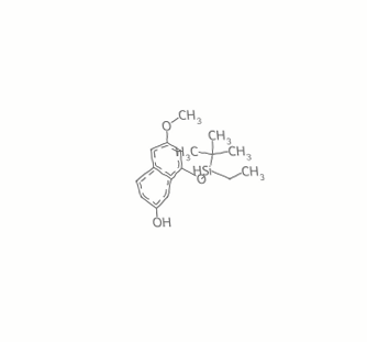 CC[SiH](Oc1cc(OC)cc2ccc(O)cc12)C(C)(C)C